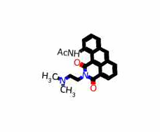 CC(=O)Nc1cccc2cc3cccc4c3c(c12)C(=O)N(CCN(C)C)C4=O